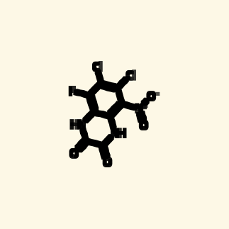 O=c1[nH]c2c(F)c(Cl)c(Cl)c([N+](=O)[O-])c2[nH]c1=O